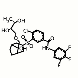 C[C@H](O)[C@@H](O)COCC1(O)C2CCC1CC(S(=O)(=O)c1cc(C(=O)Nc3cc(F)c(F)c(F)c3)ccc1Cl)C2